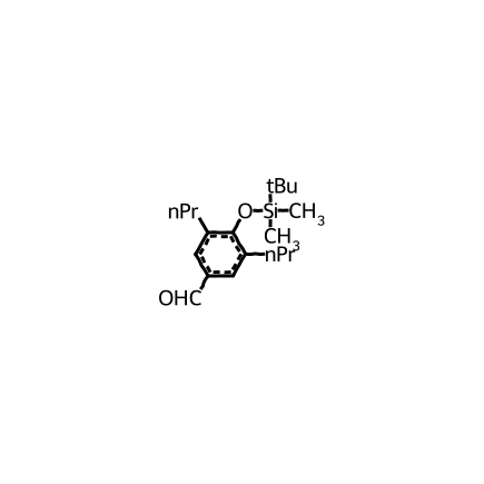 CCCc1cc(C=O)cc(CCC)c1O[Si](C)(C)C(C)(C)C